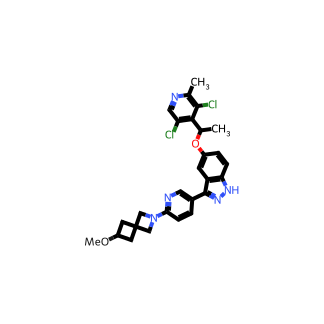 COC1CC2(C1)CN(c1ccc(-c3n[nH]c4ccc(OC(C)c5c(Cl)cnc(C)c5Cl)cc34)cn1)C2